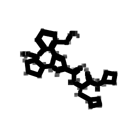 COc1cccc(OC)c1-c1cc(C(=O)N[C@@H](CC2CCC2)C(=O)NC2CCC2)nn1C1CCCC1